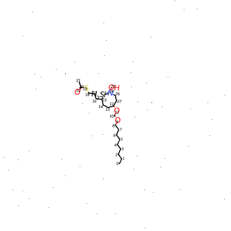 CCCCCCCCCOCOC1CCC(CCCSC(C)=O)[SiH2]N(O)CC1